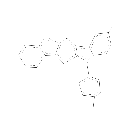 Cc1ccc(-n2c3ccc(C)cc3c3cc4oc5ccccc5c4cc32)cc1